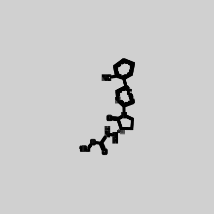 CC(C)(C)OC(=O)NN[C@H]1CCN(c2ccc(-c3ccccc3C#N)cn2)C1=O